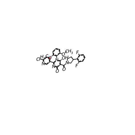 COc1cccc(OC)c1-n1c(-c2ccc(Cl)nc2)nc(=O)c(C(=O)N2CCC(c3c(F)cccc3F)C2)c1O